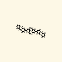 c1ccc2cc3cc(-c4cc5cnc6cc(-c7ccc8cc9ccccc9cc8c7)cc7cnc(c4)c5c76)ccc3cc2c1